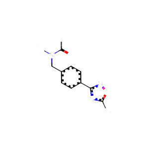 CCN(Cc1ccc(-c2noc(C(F)(F)F)n2)cc1)C(=O)C(C)C